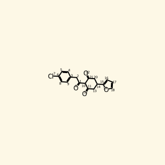 O=C(Cc1ccc(Cl)cc1)C1C(=O)CC(c2ccco2)CC1=O